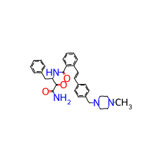 CN1CCN(Cc2ccc(C=Cc3ccccc3C(=O)NC(Cc3ccccc3)C(=O)C(N)=O)cc2)CC1